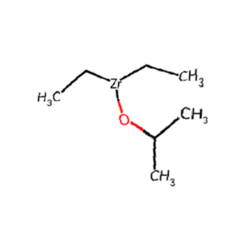 C[CH2][Zr]([CH2]C)[O]C(C)C